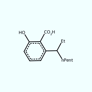 CCCCCC(CC)c1cccc(O)c1C(=O)O